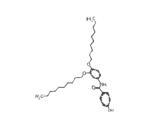 CCCCCCCCCCOc1ccc(NC(=O)c2ccc(O)cc2)cc1OCCCCCCCCCC